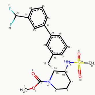 COC(=O)N1CCC[C@@H](NS(C)(=O)=O)[C@H]1Cc1cccc(-c2cccc(C(F)F)c2)c1